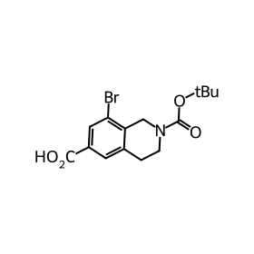 CC(C)(C)OC(=O)N1CCc2cc(C(=O)O)cc(Br)c2C1